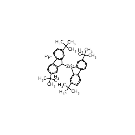 CC(C)(C)c1ccc2c(c1)[CH]([Zr+2][CH]1c3cc(C(C)(C)C)ccc3-c3ccc(C(C)(C)C)cc31)c1cc(C(C)(C)C)ccc1-2.[F-].[F-]